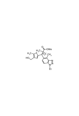 CCn1nnc2c(C)c(C(c3cc(CO)c(C)s3)C(C)(C)C(=O)OC)ccc21